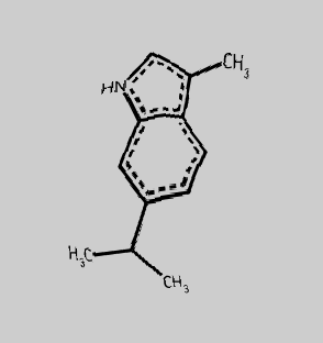 Cc1c[nH]c2cc(C(C)C)ccc12